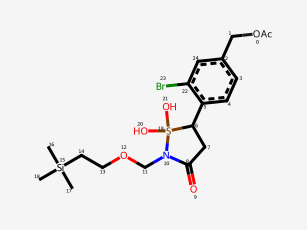 CC(=O)OCc1ccc(C2CC(=O)N(COCC[Si](C)(C)C)S2(O)O)c(Br)c1